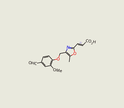 COc1cc(C=O)ccc1OCc1nc(/C=C/C(=O)O)oc1C